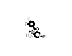 CC(C)N1CCC(C)(NC(=O)c2ccc(F)c(F)c2)CC1